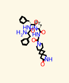 CC(C)C[C@@H](NC(=O)[C@@H](Cc1ccccc1)NC(=O)[C@H](N)Cc1ccccc1)C(=O)NCC(=O)N1CCC2(CC1)CC1(CNC(=O)C1)C2